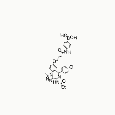 CCC(=O)N[C@@H]1N=C(c2ccc(Cl)cc2)c2cc(OCCCC(=O)Nc3ccc(B(O)O)cc3)ccc2-n2c(C)nnc21